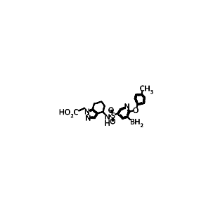 Bc1cc(S(=O)(=O)NC2CCCc3c2cnn3CC(=O)O)cnc1Oc1ccc(C)cc1